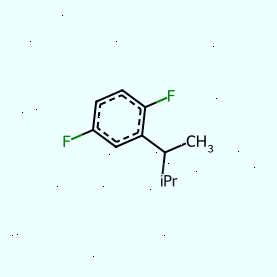 CC(C)C(C)c1cc(F)ccc1F